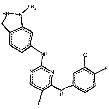 CN1NCc2ccc(Nc3ncc(F)c(Nc4ccc(F)c(Cl)c4)n3)cc21